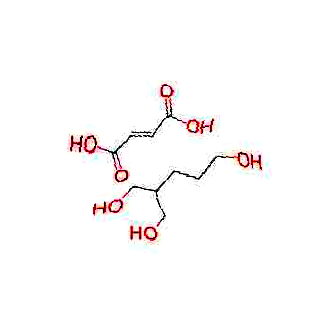 O=C(O)/C=C/C(=O)O.OCCCC(CO)CO